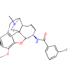 COc1ccc2c3c1OC1[C@H](NC(=O)c4cccc(I)c4)CCC4C(C2)N(C)CCC341